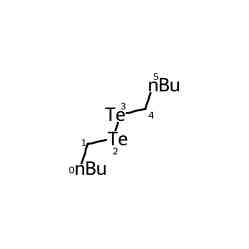 CCCCC[Te][Te]CCCCC